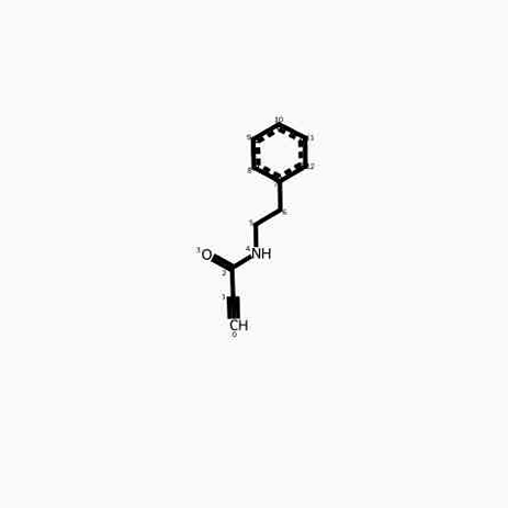 C#CC(=O)NCCc1ccccc1